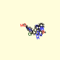 COc1cnc(Nc2ccc(N3CCN(CCO)CC3)c(Cl)c2)nc1Nc1cccnc1-c1ccccn1